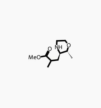 COC(=O)C(C)C[C@H]1NCCO[C@@H]1C